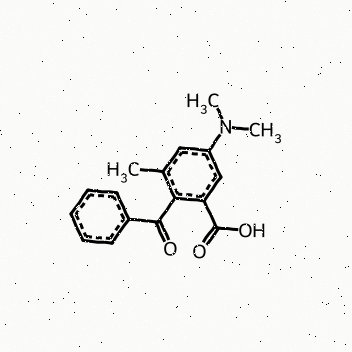 Cc1cc(N(C)C)cc(C(=O)O)c1C(=O)c1ccccc1